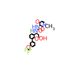 CN1C=CC(=O)C(NC(=O)NC(CC(=O)O)c2cc(-c3cccc(OC(F)(F)F)c3)ccc2F)C1=O